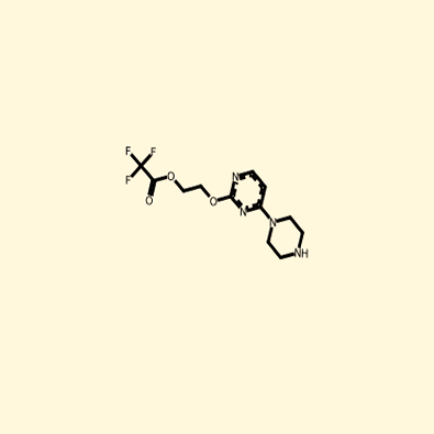 O=C(OCCOc1nccc(N2CCNCC2)n1)C(F)(F)F